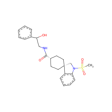 CS(=O)(=O)N1C[C@]2(CC[C@@H](C(=O)NCC(O)c3ccccc3)CC2)c2ccccc21